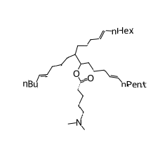 CCCCC=CCCCC(CCCC=CCCCCCC)C(CCCC=CCCCCC)OC(=O)CCCCN(C)C